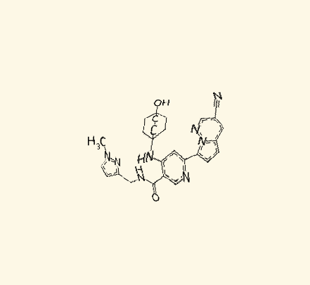 Cn1ccc(CNC(=O)c2cnc(-c3ccc4cc(C#N)cnn34)cc2NC23CCC(O)(CC2)CC3)n1